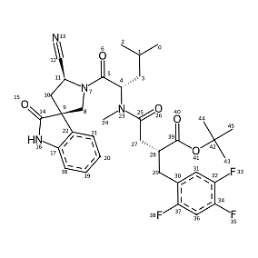 CC(C)C[C@@H](C(=O)N1C[C@]2(C[C@H]1C#N)C(=O)Nc1ccccc12)N(C)C(=O)C[C@@H](Cc1cc(F)c(F)cc1F)C(=O)OC(C)(C)C